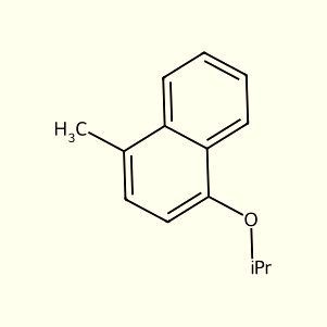 Cc1ccc(OC(C)C)c2ccccc12